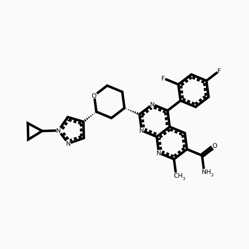 Cc1nc2nc([C@H]3CCO[C@@H](c4cnn(C5CC5)c4)C3)nc(-c3ccc(F)cc3F)c2cc1C(N)=O